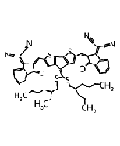 CCCCC(CC)CSC(SCC(CCC)CCCC)=C1c2cc(/C=C3\C(=O)c4ccccc4C3=C(C#N)C#N)sc2-c2sc(/C=C3\C(=O)c4ccccc4C3=C(C#N)C#N)cc21